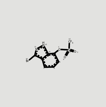 O=S(=O)(Oc1cccc2c(Br)n[nH]c12)C(F)(F)F